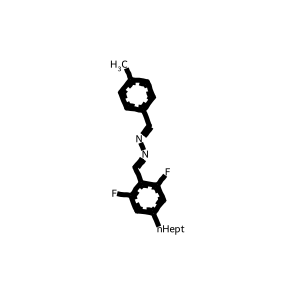 CCCCCCCc1cc(F)c(C=NN=Cc2ccc(C)cc2)c(F)c1